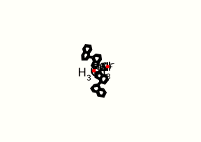 CC1=Cc2c(-c3cccc4ccccc34)cccc2[CH]1[Zr+2]1([CH]2C(C)=Cc3c(-c4cccc5ccccc45)cccc32)[CH2][CH2]1.[Cl-].[Cl-]